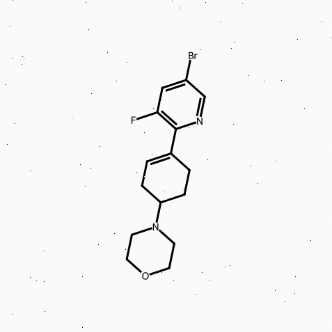 Fc1cc(Br)cnc1C1=CCC(N2CCOCC2)CC1